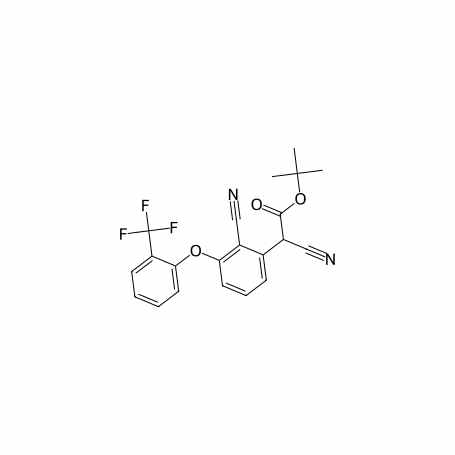 CC(C)(C)OC(=O)C(C#N)c1cccc(Oc2ccccc2C(F)(F)F)c1C#N